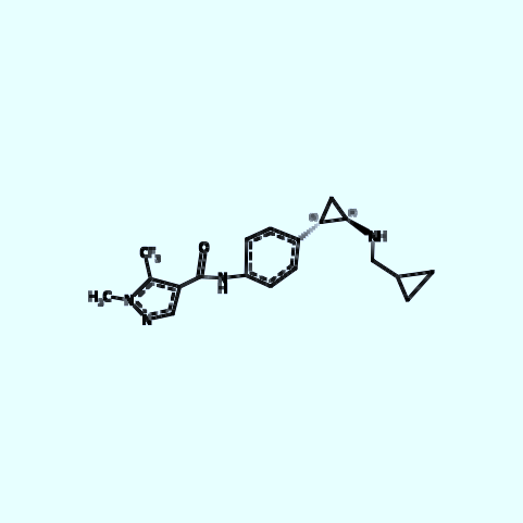 Cn1ncc(C(=O)Nc2ccc([C@@H]3C[C@H]3NCC3CC3)cc2)c1C(F)(F)F